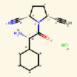 C#C[C@H]1CC[C@@H](C#N)N1C(=O)[C@@H](N)C1CCCCC1.Cl